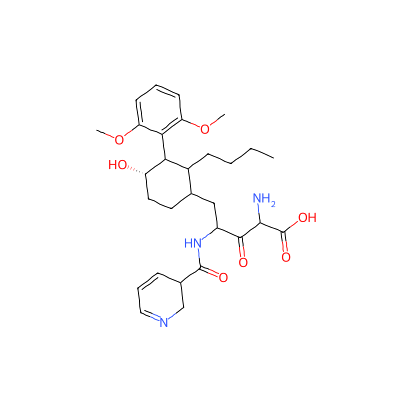 CCCCC1C(CC(NC(=O)C2C=CC=NC2)C(=O)C(N)C(=O)O)CC[C@H](O)C1c1c(OC)cccc1OC